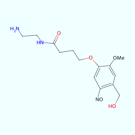 COc1cc(CO)c(N=O)cc1OCCCC(=O)NCCN